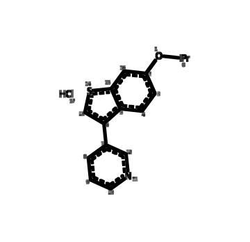 CC(C)Oc1ccc2c(-c3cccnc3)csc2c1.Cl